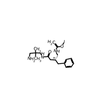 C=C(NC[C@@H](CC(=O)NCC(C)(C)CN)Cc1ccccc1)OI